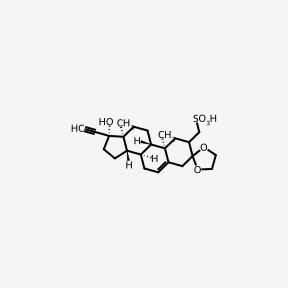 C#C[C@]1(O)CC[C@H]2[C@@H]3CC=C4CC5(OCCO5)C(CS(=O)(=O)O)C[C@]4(C)[C@H]3CC[C@@]21C